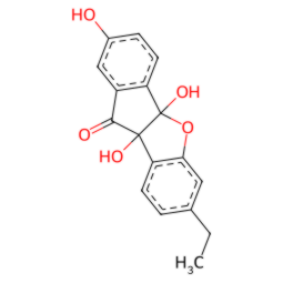 CCc1ccc2c(c1)OC1(O)c3ccc(O)cc3C(=O)C21O